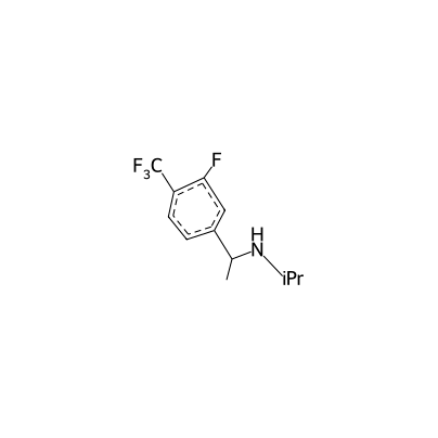 CC(C)NC(C)c1ccc(C(F)(F)F)c(F)c1